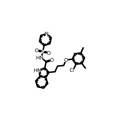 Cc1cc(C)c(Cl)c(OCCCc2c(C(=O)NS(=O)(=O)c3ccncc3)[nH]c3ccccc23)c1